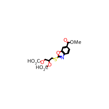 COC(=O)c1ccc2nc(SCC(COC(=O)O)OC(=O)O)oc2c1